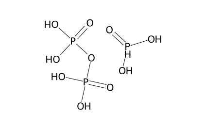 O=P(O)(O)OP(=O)(O)O.O=[PH](O)O